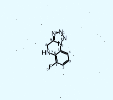 Fc1cccc2c1NCc1nnnn1-2